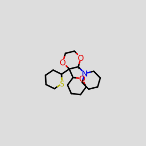 C1CCN([C]2OCCOC2(C2CCCCO2)C2CCCCS2)CC1